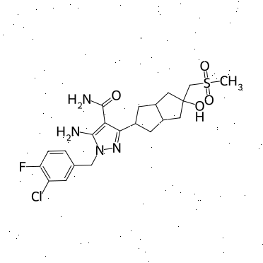 CS(=O)(=O)CC1(O)CC2CC(c3nn(Cc4ccc(F)c(Cl)c4)c(N)c3C(N)=O)CC2C1